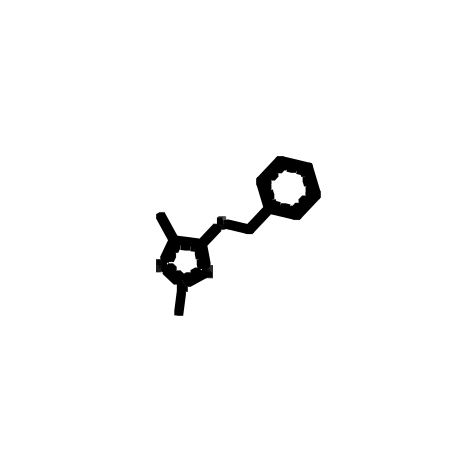 Cc1nn(C)nc1SCc1ccccc1